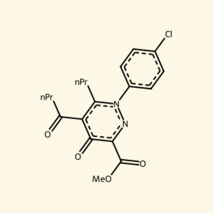 CCCC(=O)c1c(CCC)n(-c2ccc(Cl)cc2)nc(C(=O)OC)c1=O